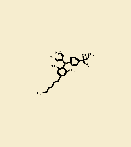 C=C/C(=C\C)N(c1ccc(C(C)(C)CC)cc1)c1c(C)cc(CCCCCC)cc1C